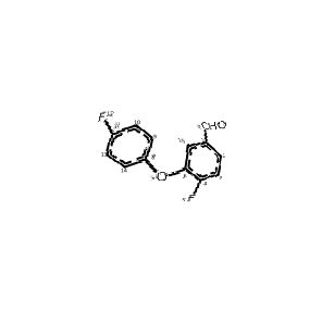 O=Cc1ccc(F)c(Oc2ccc(F)cc2)c1